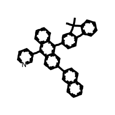 CC1(C)c2ccccc2-c2ccc(-c3c4ccccc4c(-c4cccnc4)c4ccc(-c5ccc6ccccc6c5)cc34)cc21